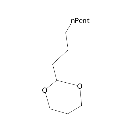 CCCCCCCCC1OCCCO1